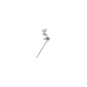 CCCCCCCCCCCCCCCCCCOP(=O)(O)OCC[n+]1cccc(C(=O)OCC)c1